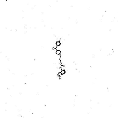 O=C(Nc1cccc2[nH]ncc12)OCCCN1CCC(C(=O)c2ccc(I)cc2)CC1